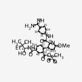 CCC(C)(C)C(O)NC(=O)c1ccc(-c2ccc(OC)nc2C(=O)Nc2ccc(C(=N)N)cc2)c(C(=O)OS(C)(=O)=O)c1